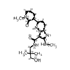 CNc1nc2ccc(-c3cccn(C)c3=O)nn2c1C(=O)NCC(C)(C)CO